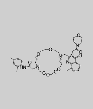 Cc1ccc(NC(=O)CN2CCOCCOCCN(Cc3nc4c(C)cccc4c(=O)n3CC(=O)N3CCOCC3)CCOCCOCC2)c(C)c1